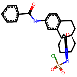 O=C(Nc1ccc2c(c1)[C@@]13CCCC[C@]1(CC2)OC(=NS(=O)(=O)Cl)C3)c1ccccc1